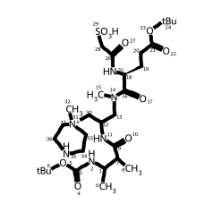 CC(NC(=O)OC(C)(C)C)C(C)C(=O)NC(CN(C)C(=O)[C@H](CCC(=O)OC(C)(C)C)NC(=O)CS(=O)(=O)O)C[N+]1(C)CCNCC1